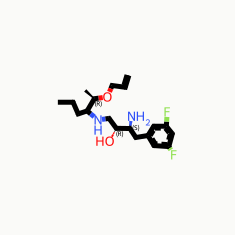 C=CCO[C@H](C)C(CCC)NC[C@@H](O)[C@@H](N)Cc1cc(F)cc(F)c1